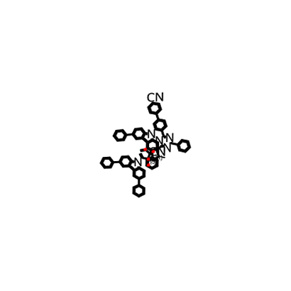 C=CC(C#N)[C@@](C)(C(=C)n1c2ccc(-c3ccccc3)cc2c2cc(-c3ccccc3)ccc21)[C@@H](C)[C@H](C)Cc1nc(-c2ccccc2)nc(-c2ccc(-c3ccc(C#N)cc3)cc2-n2c3ccc(-c4ccccc4)cc3c3cc(-c4ccccc4)ccc32)n1